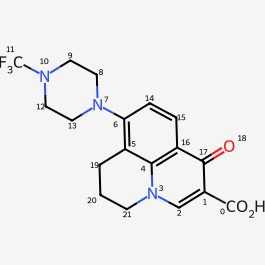 O=C(O)c1cn2c3c(c(N4CCN(C(F)(F)F)CC4)ccc3c1=O)CCC2